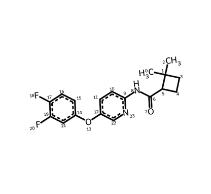 CC1(C)CCC1C(=O)Nc1ccc(Oc2ccc(F)c(F)c2)cn1